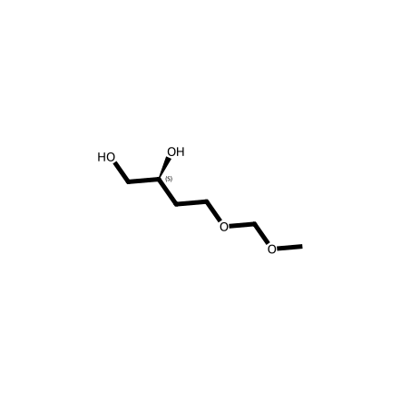 COCOCC[C@H](O)CO